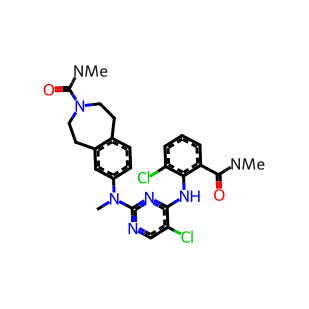 CNC(=O)c1cccc(Cl)c1Nc1nc(N(C)c2ccc3c(c2)CCN(C(=O)NC)CC3)ncc1Cl